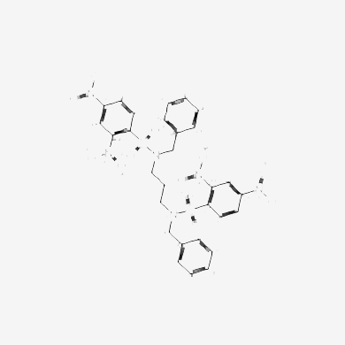 O=[N+]([O-])c1ccc(S(=O)(=O)N(CCCN(Cc2ccccc2)S(=O)(=O)c2ccc([N+](=O)[O-])cc2[N+](=O)[O-])Cc2ccccc2)c([N+](=O)[O-])c1